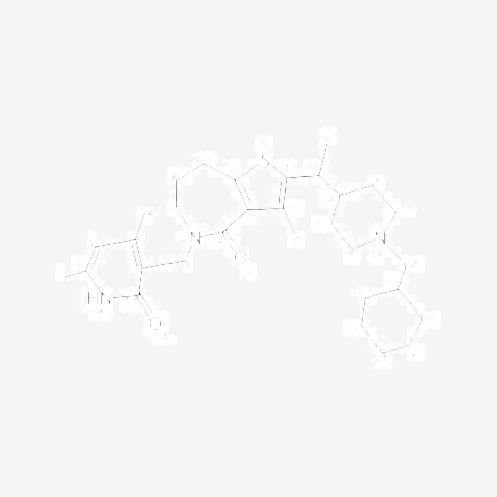 Cc1cc(C)c(CN2CCCc3sc(C(C)C4CCN(CC5CCCCC5)CC4)c(C)c3C2=O)c(=O)[nH]1